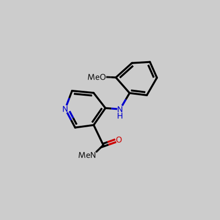 CNC(=O)c1cnccc1Nc1ccccc1OC